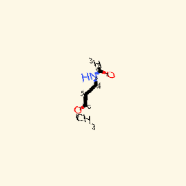 [3H]C(=O)NCCCOC